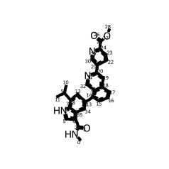 CNC(=O)c1c[nH]c2c(C(C)C)cc(-c3cccc4cc(-c5ccc(C(=O)OC)nc5)ncc34)cc12